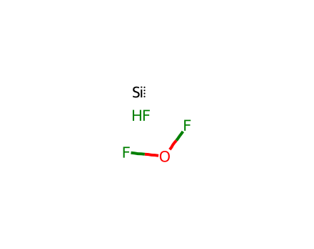 F.FOF.[Si]